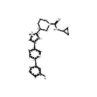 O=C(NC1CC1)N1CCCC(c2nc(-c3ccc(-c4cccc(F)c4)nc3)c[nH]2)C1